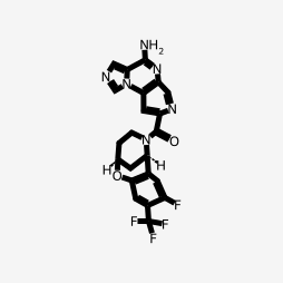 Nc1nc2cnc(C(=O)N3CC[C@H]4C[C@@H]3c3cc(F)c(C(F)(F)F)cc3O4)cc2n2cncc12